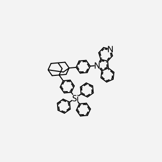 c1ccc([Si](c2ccccc2)(c2ccccc2)c2ccc(C34CC5CC(CC(c6ccc(-n7c8ccccc8c8cnccc87)cc6)(C5)C3)C4)cc2)cc1